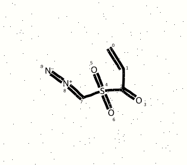 C=CC(=O)S(=O)(=O)C=[N+]=[N-]